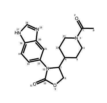 CC(=O)N1CCC(C2COC(=O)N2c2ccc3[nH]cnc3c2)CC1